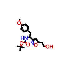 COc1ccc(CC(NC(=O)OC(C)(C)C)c2cc(CCO)on2)cc1